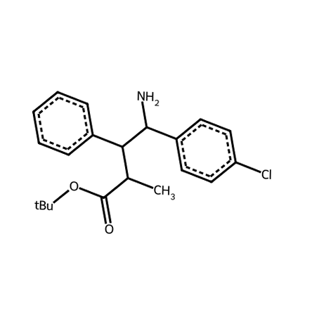 CC(C(=O)OC(C)(C)C)C(c1ccccc1)C(N)c1ccc(Cl)cc1